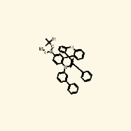 CCOB(OC(C)(C)CC)c1ccc2c(c1)C1(c3ccccc3Oc3ccccc31)c1ccc(-c3ccccc3)cc1N2c1cccc(-c2ccccc2)c1